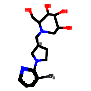 OCC1C(O)C(O)C(O)CN1C[C@H]1CCN(c2ncccc2C(F)(F)F)C1